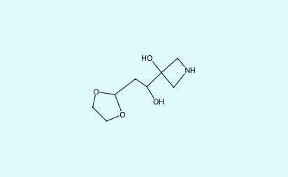 OC(CC1OCCO1)C1(O)CNC1